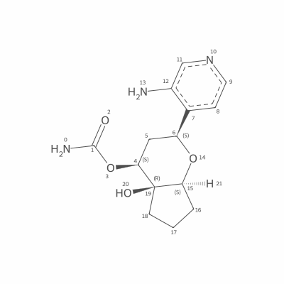 NC(=O)O[C@H]1C[C@@H](c2ccncc2N)O[C@H]2CCC[C@]12O